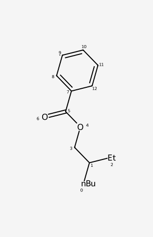 CCCCC(CC)COC(=O)c1c[c]ccc1